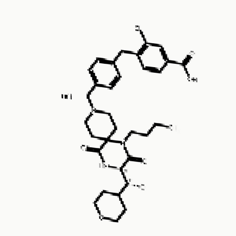 CCCCN1C(=O)[C@@H]([C@H](O)C2CCOCC2)NC(=O)C12CCN(Cc1ccc(Cc3ccc(C(=O)O)cc3Cl)cc1)CC2.Cl